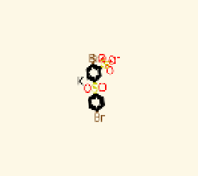 O=S(=O)([O-])c1cc(S(=O)(=O)c2ccc(Br)cc2)ccc1Br.[K+]